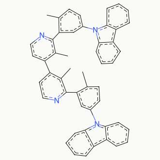 Cc1ccc(-n2c3ccccc3c3ccccc32)cc1-c1nccc(-c2ccnc(-c3cc(-n4c5ccccc5c5ccccc54)ccc3C)c2C)c1C